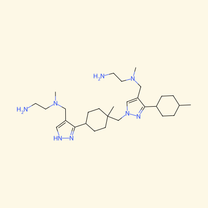 CC1CCC(c2nn(CC3(C)CCC(c4n[nH]cc4CN(C)CCN)CC3)cc2CN(C)CCN)CC1